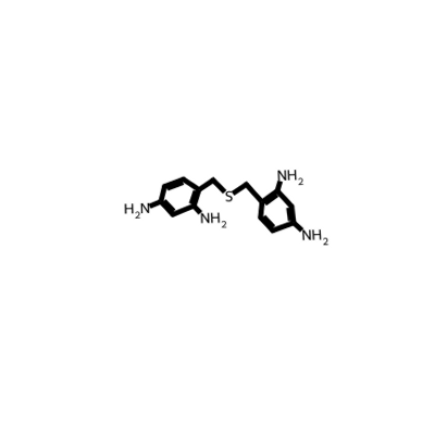 Nc1ccc(CSCc2ccc(N)cc2N)c(N)c1